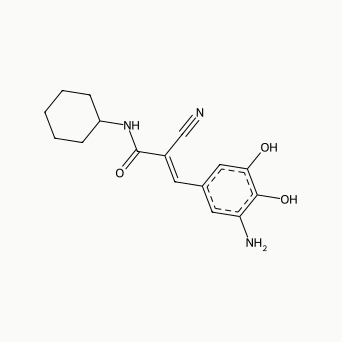 N#C/C(=C\c1cc(N)c(O)c(O)c1)C(=O)NC1CCCCC1